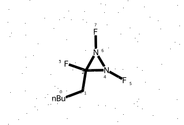 CCCCCC1(F)N(F)N1F